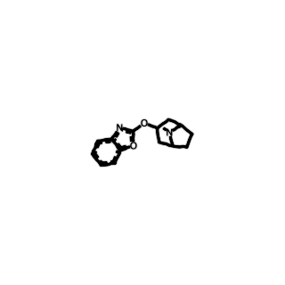 CN1C2CCC1CC(Oc1nc3ccccc3o1)C2